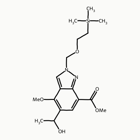 COC(=O)c1cc(C(C)O)c(OC)c2cn(COCC[Si](C)(C)C)nc12